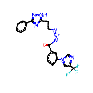 O=C(N=[N+]=NCCc1nc(-c2ccccc2)n[nH]1)c1cccc(-n2cnc(C(F)(F)F)c2)c1